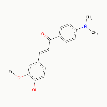 CCOc1cc(C=CC(=O)c2ccc(N(C)C)cc2)ccc1O